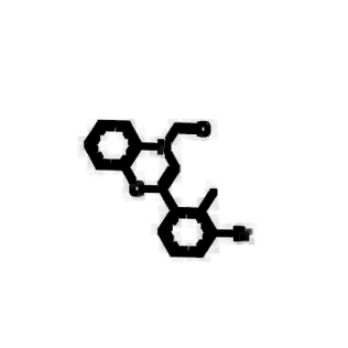 Cc1c(Br)cccc1C1=CN(C=O)c2ccccc2O1